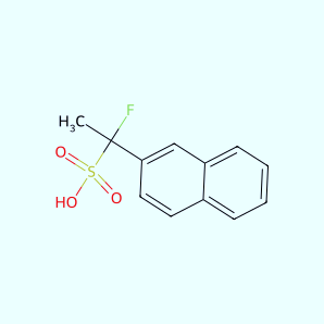 CC(F)(c1ccc2ccccc2c1)S(=O)(=O)O